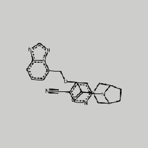 N#Cc1ccc(N2C3CCC2CN(C(=O)COCc2cccc4ncnn24)C3)nc1